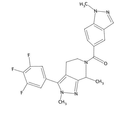 CC1c2nn(C)c(-c3cc(F)c(F)c(F)c3)c2CCN1C(=O)c1ccc2c(cnn2C)c1